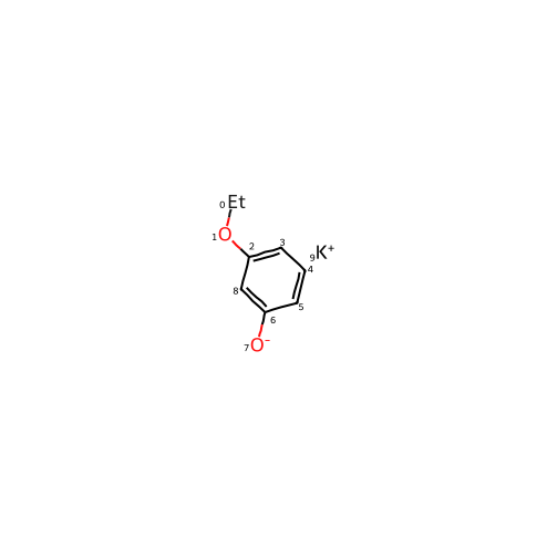 CCOc1cccc([O-])c1.[K+]